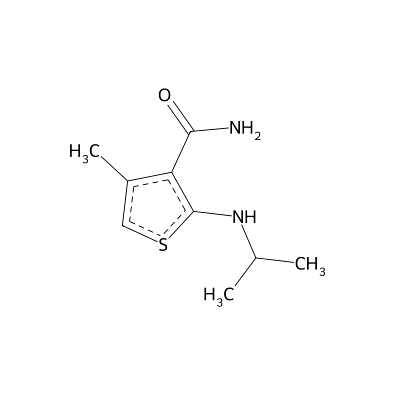 Cc1csc(NC(C)C)c1C(N)=O